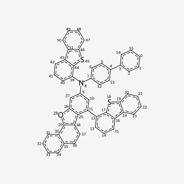 c1ccc(-c2ccc(N(c3cc(-c4cccc5c4sc4ccccc45)c4c(c3)oc3c5ccccc5ccc34)c3cccc4c3sc3ccccc34)cc2)cc1